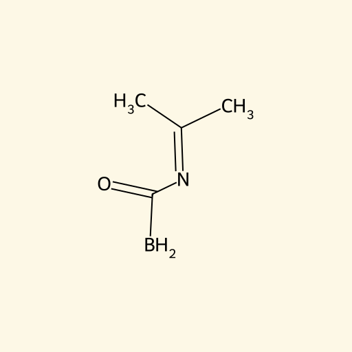 BC(=O)N=C(C)C